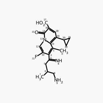 Cc1c(C(=N)CC(C)CN)c(F)cn2c(=O)c(C(=O)O)cc(C3CC3)c12